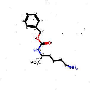 NCCCC[C@H](NC(=O)OCc1ccccc1)C(=O)O